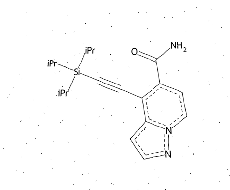 CC(C)[Si](C#Cc1c(C(N)=O)ccn2nccc12)(C(C)C)C(C)C